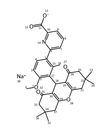 COc1ccc(-c2cccc(C(=O)[O-])n2)c(C)c1C1C2=C(CC(C)(C)CC2=O)OC2=C1C(=O)CC(C)(C)C2.[Na+]